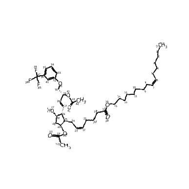 CCCCCC/C=C\CCCCCCCCOC(=O)CCC/C=C\C[C@@H]1[C@@H](/C=C/[C@H](COc2cccc(C(F)(F)F)c2)OC(C)=O)[C@H](O)C[C@@H]1OC(C)=O